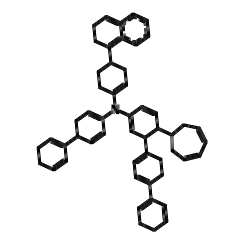 C1=CCC(C2C=CC(N(C3=CCC(C4=CCCC=C4)C=C3)C3=CCC(C4=c5ccccc5=CCC4)CC3)=CC2C2=CC=C(C3=CCCC=C3)CC2)CC=C1